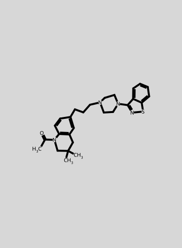 CC(=O)N1CC(C)(C)Cc2cc(CCCN3CCN(c4nsc5ccccc45)CC3)ccc21